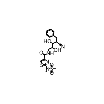 CN(c1nc(C(=O)NCC(O)C(O)C(C#N)Cc2ccccc2)cs1)S(C)(=O)=O